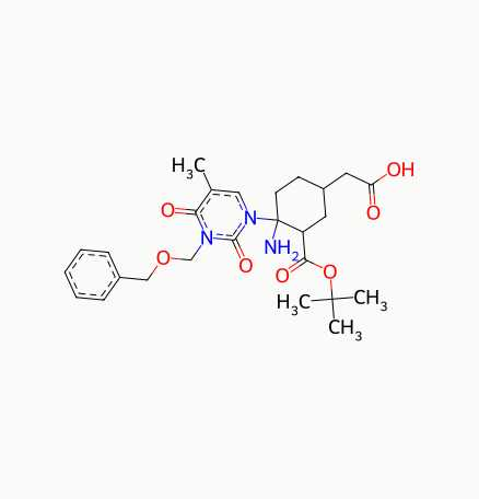 Cc1cn(C2(N)CCC(CC(=O)O)CC2C(=O)OC(C)(C)C)c(=O)n(COCc2ccccc2)c1=O